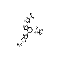 CN1Cc2cn(-c3cc([S+]([O-])NC4(C#N)CC4)cc4c3cnn4-c3nnc(C(F)F)s3)nc2C1